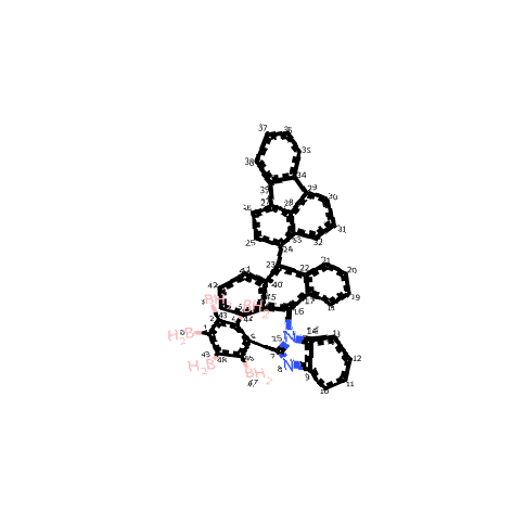 Bc1c(B)c(B)c(-c2nc3ccccc3n2-c2c3ccccc3c(-c3ccc4c5c(cccc35)-c3ccccc3-4)c3ccccc23)c(B)c1B